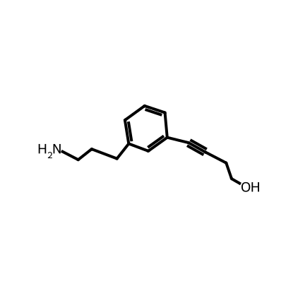 NCCCc1cccc(C#CCCO)c1